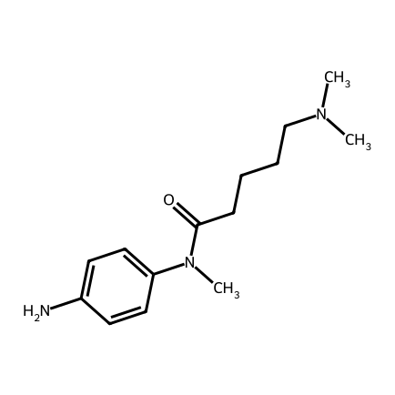 CN(C)CCCCC(=O)N(C)c1ccc(N)cc1